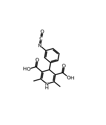 CC1=C(C(=O)O)C(c2cccc(N=C=O)c2)C(C(=O)O)=C(C)N1